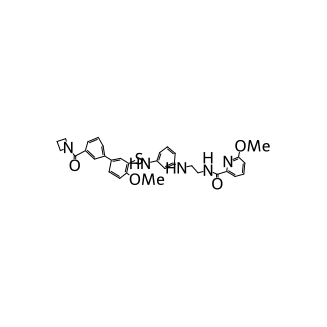 COc1cccc(C(=O)NCCNc2cccc(NSc3cc(-c4cccc(C(=O)N5CCC5)c4)ccc3OC)c2)n1